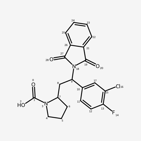 O=C(O)N1CCCC1CC(c1ccc(F)c(Cl)c1)N1C(=O)c2ccccc2C1=O